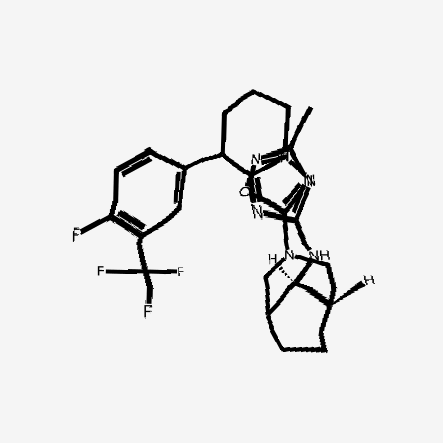 Cc1noc(N2CC3CC[C@@H](C2)[C@@H]3Nc2nc3n(n2)CCCC3c2ccc(F)c(C(F)(F)F)c2)n1